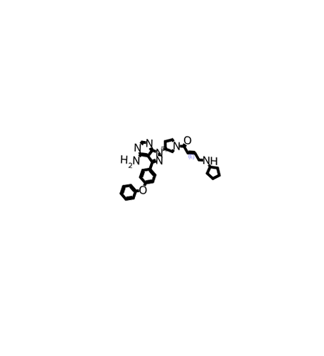 Nc1ncnc2c1c(-c1ccc(Oc3ccccc3)cc1)nn2[C@@H]1CCN(C(=O)/C=C/CNC2CCCC2)C1